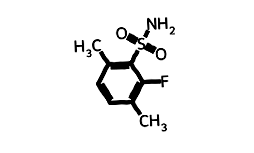 Cc1ccc(C)c(S(N)(=O)=O)c1F